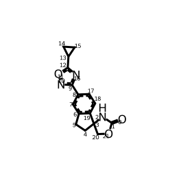 O=C1NC2(CCc3cc(-c4noc(C5CC5)n4)ccc32)CO1